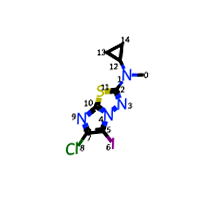 CN(c1nn2c(I)c(Cl)nc2s1)C1CC1